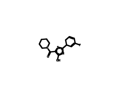 O=C(c1sc(C2C=C(F)C=CC2)nc1O)N1CCCCC1